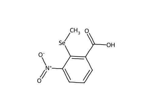 C[Se]c1c(C(=O)O)cccc1[N+](=O)[O-]